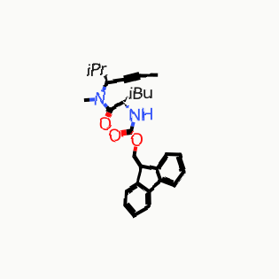 CC#C[C@H](C(C)C)N(C)C(=O)[C@@H](NC(=O)OCC1c2ccccc2-c2ccccc21)[C@@H](C)CC